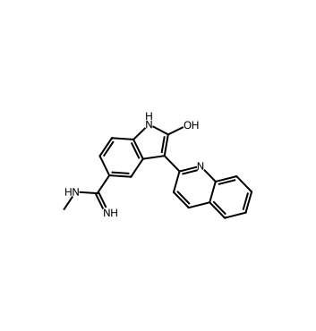 CNC(=N)c1ccc2[nH]c(O)c(-c3ccc4ccccc4n3)c2c1